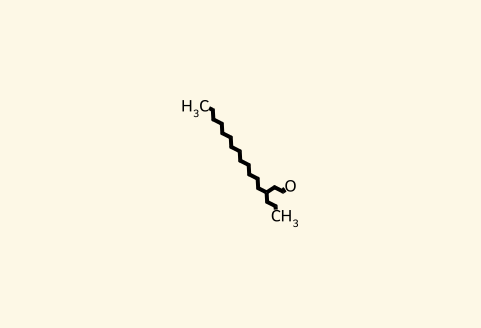 CCCCCCCCCCCCCC(CC=O)CCC